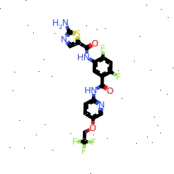 Nc1ncc(C(=O)Nc2cc(C(=O)Nc3ccc(OCC(F)(F)F)cn3)c(F)cc2F)s1